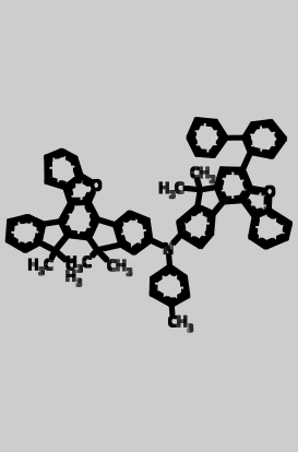 Cc1ccc(N(c2ccc3c(c2)C(C)(C)c2cc(-c4ccccc4-c4ccccc4)c4oc5ccccc5c4c2-3)c2ccc3c(c2)C(C)(C)c2c4c(c5c(oc6ccccc65)c2-3)-c2ccccc2C4(C)C)cc1